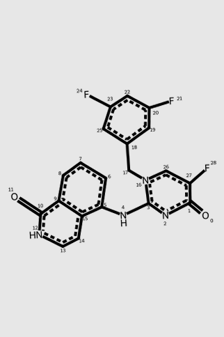 O=c1nc(Nc2cccc3c(=O)[nH]ccc23)n(Cc2cc(F)cc(F)c2)cc1F